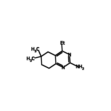 CCc1nc(N)nc2c1CC(C)(C)CC2